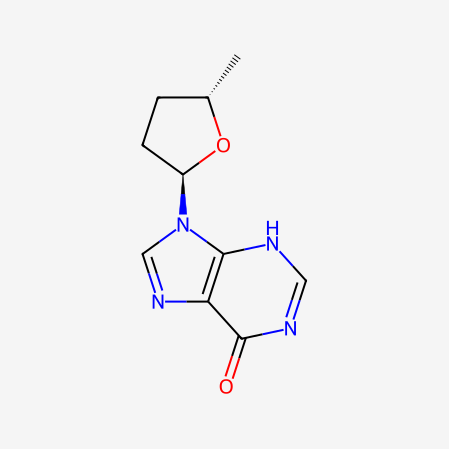 C[C@H]1CC[C@H](n2cnc3c(=O)nc[nH]c32)O1